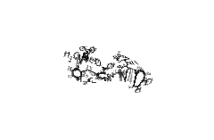 CCCSC(=S)Nc1sc(-n2nc(C)c(Cc3ccccc3N(C)O[SH](=O)=O)c2C(=O)OC)nc1-c1ccc(Cl)c(Cl)c1